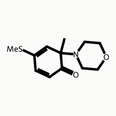 CSC1=CC(C)(N2CCOCC2)C(=O)C=C1